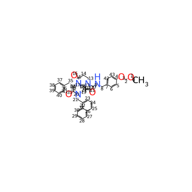 COCOc1ccc(CNC(=O)N2CCC(=O)N3[C@@H]2CN(Cc2cccc4ccccc24)C(=O)[C@@H]3Cc2ccccc2)cc1